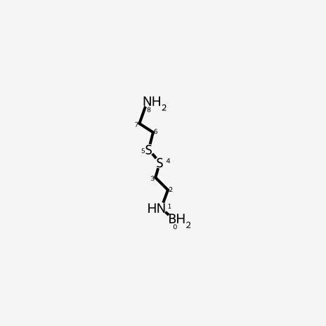 BNCCSSCCN